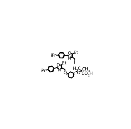 CCc1oc(-c2ccc(C(C)C)cc2)nc1CI.CCc1oc(-c2ccc(C(C)C)cc2)nc1CO[C@H]1CCC[C@@H](COC(C)(C)C(=O)O)C1